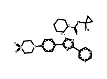 N#CC1(NC(=O)[C@@H]2CCCC[C@H]2c2oc(-c3cncnc3)nc2-c2ccc(N3CCS(=O)(=O)CC3)cc2)CC1